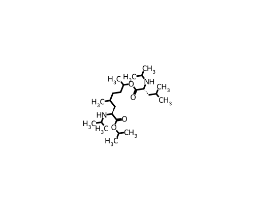 CC(C)C[C@@H](NC(C)C)C(=O)OC(C)CCC(C)C[C@H](NC(C)C)C(=O)OC(C)C